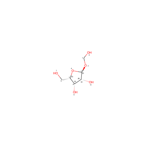 OCO[C@@H]1O[C@@H](CO)[C@@H](O)[C@H]1O